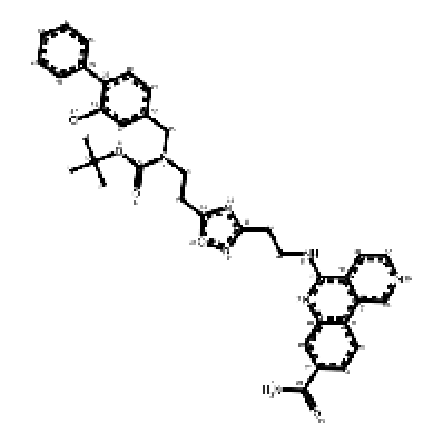 CC(C)(C)OC(=O)N(CCc1nc(CCNc2nc3cc(C(N)=O)ccc3c3cnccc23)no1)Cc1ccc(-c2ccccc2)c(Cl)c1